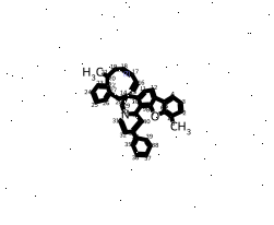 Cc1cccc2c1oc1c3c(ccc12)[C@@]1(C#C/C=C\CC(C)c2ccccc2C1)CN1C=CC(c2ccccc2)=CC31